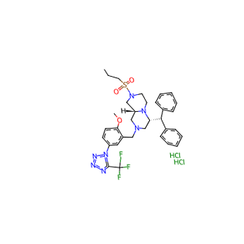 CCCS(=O)(=O)N1CCN2[C@H](CN(Cc3cc(-n4nnnc4C(F)(F)F)ccc3OC)C[C@H]2C(c2ccccc2)c2ccccc2)C1.Cl.Cl